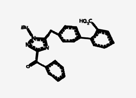 CCC(C)n1nc(C(=O)c2ccccc2)nc1Cc1ccc(-c2ccccc2C(=O)O)cc1